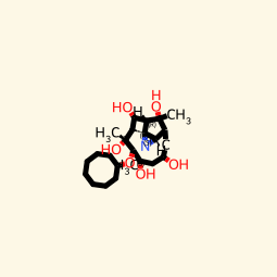 CC1(O)C2CC(O)C[C@](C)(O)C3(OC4CCCCCCC4)[N@]4[C@H]2[C@@]42C(C(O)[C@H]12)[C@@]3(C)O